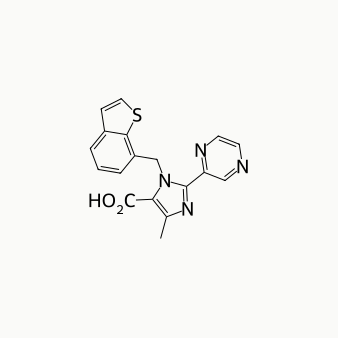 Cc1nc(-c2cnccn2)n(Cc2cccc3ccsc23)c1C(=O)O